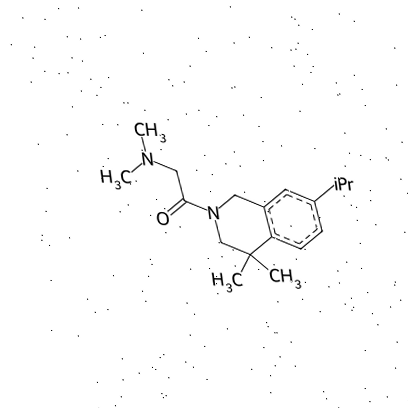 CC(C)c1ccc2c(c1)CN(C(=O)CN(C)C)CC2(C)C